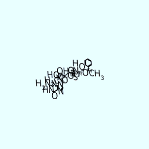 C[C@H](OC(=O)[C@@H]1CS[P@](=O)(OC[C@H]2O[C@@H](n3cnc4c(=O)[nH]c(N)nc43)[C@](C)(O)[C@@H]2O)N1)c1ccccc1